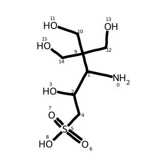 NC(C(O)CS(=O)(=O)O)C(CO)(CO)CO